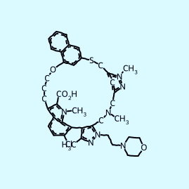 Cc1nn(CCN2CCOCC2)c2c1-c1c(Cl)ccc3c(c(C(=O)O)n(C)c13)CCCOc1cc(cc3ccccc13)SCc1cc(nn1C)CN(C)C2